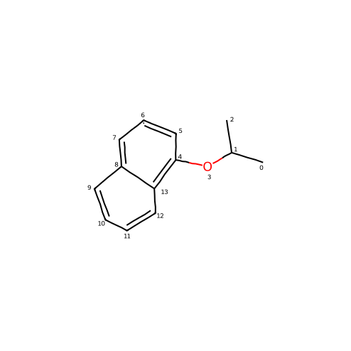 CC(C)Oc1c[c]cc2ccccc12